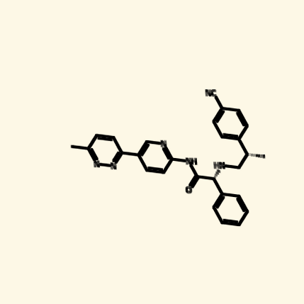 Cc1ccc(-c2ccc(NC(=O)[C@H](NC[C@@H](C)c3ccc(C#N)cc3)c3ccccc3)nc2)nn1